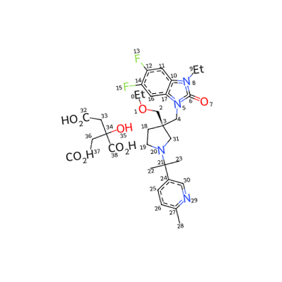 CCOC[C@]1(Cn2c(=O)n(CC)c3cc(F)c(F)cc32)CCN(C(C)(C)c2ccc(C)nc2)C1.O=C(O)CC(O)(CC(=O)O)C(=O)O